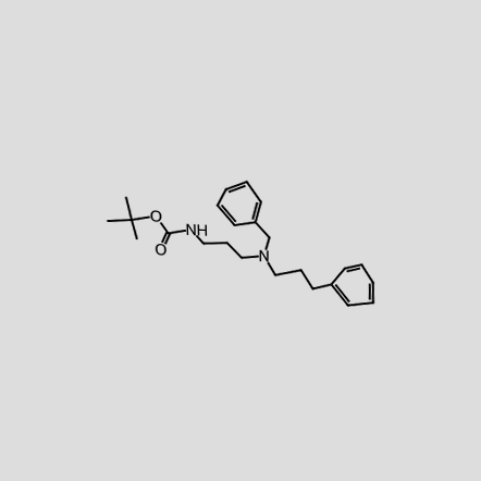 CC(C)(C)OC(=O)NCCCN(CCCc1ccccc1)Cc1ccccc1